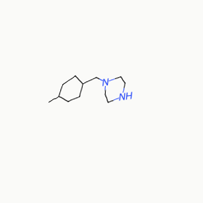 CC1CCC(CN2CCNCC2)CC1